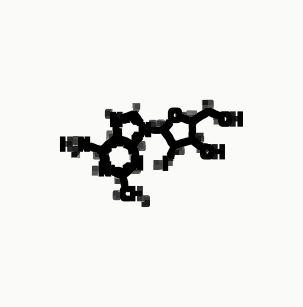 Cc1nc(N)c2ncn(C3OC(CO)C(O)[C@H]3F)c2n1